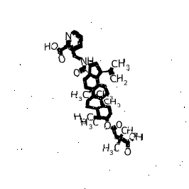 C=C(C)[C@@H]1CC[C@]2(C(=O)NCc3cccnc3C(=O)O)CC[C@]3(C)C(CCC4[C@@]5(C)CCC(OC(=O)CC(C)(C)C(=O)O)C(C)(C)C5CC[C@]43C)C12